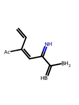 B=C(B)C(=N)/C=C(\C=C)C(C)=O